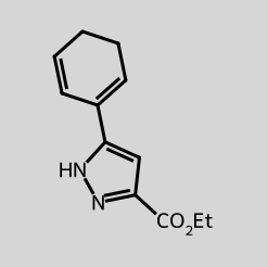 CCOC(=O)c1cc(C2=CCCC=C2)[nH]n1